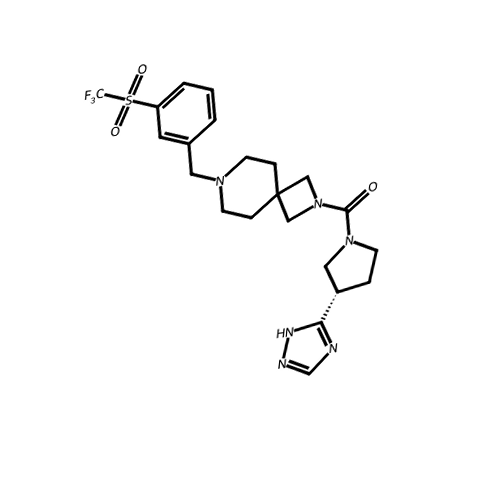 O=C(N1CC[C@H](c2ncn[nH]2)C1)N1CC2(CCN(Cc3cccc(S(=O)(=O)C(F)(F)F)c3)CC2)C1